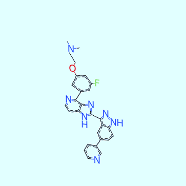 CN(C)CCOc1cc(F)cc(-c2nccc3[nH]c(-c4n[nH]c5ccc(-c6cccnc6)cc45)nc23)c1